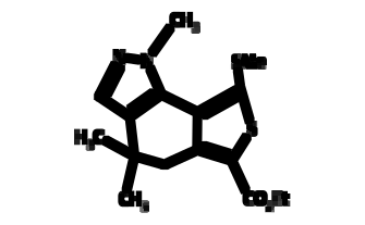 CCOC(=O)c1sc(SC)c2c1CC(C)(C)c1cnn(C)c1-2